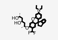 CCN(CC)c1ccc2c(c1)Oc1cc(O[C@H](C)C[C@@H](O)C[C@@H](C)O)c(C(F)F)cc1C21CCc2ccccc21